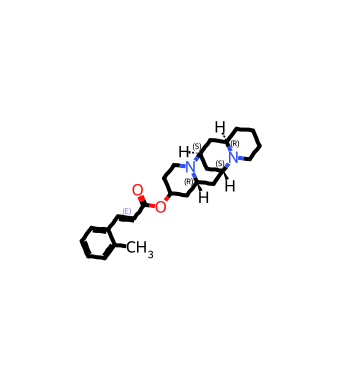 Cc1ccccc1/C=C/C(=O)OC1CCN2[C@@H]3C[C@@H](C[C@@H]2C1)N1CCCC[C@@H]1C3